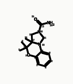 CC1(C)Oc2ccccc2N2CN(C(N)=O)CC21C